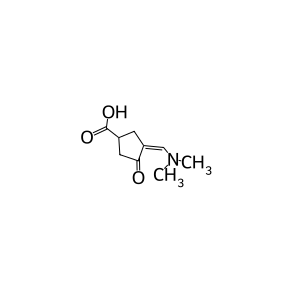 CN(C)/C=C1/CC(C(=O)O)CC1=O